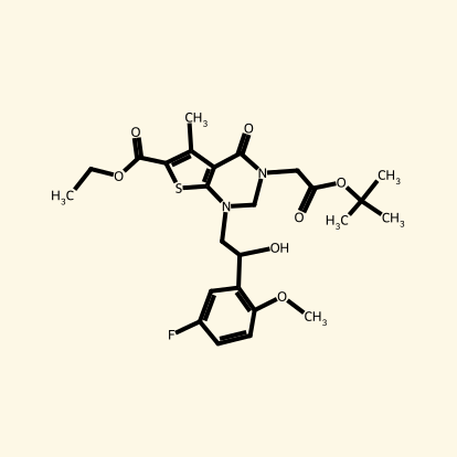 CCOC(=O)c1sc2c(c1C)C(=O)N(CC(=O)OC(C)(C)C)CN2CC(O)c1cc(F)ccc1OC